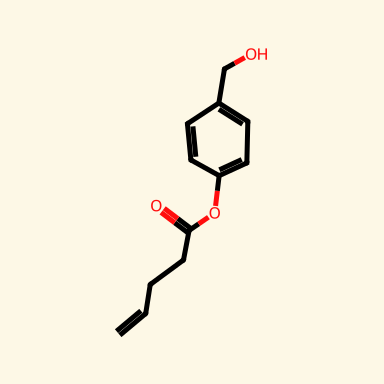 C=CCCC(=O)Oc1ccc(CO)cc1